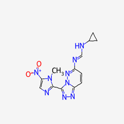 Cn1c([N+](=O)[O-])cnc1-c1nnc2ccc(N=CNC3CC3)nn12